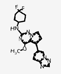 COc1nc(NC2CCC(F)(F)CC2)nn2ccc(-c3ccc4ncnn4c3)c12